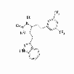 CCN1C(=O)NC(Cc2c[nH]c3ccccc23)C1CCc1cc(C(F)(F)F)cc(C(F)(F)F)c1